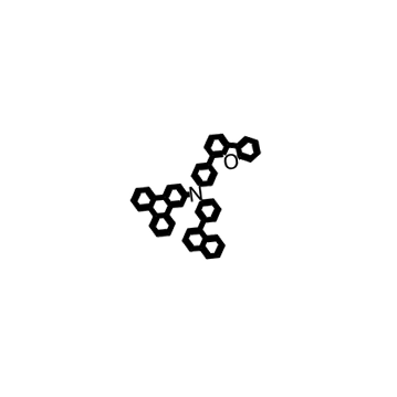 c1cc(-c2cccc3ccccc23)cc(N(c2ccc(-c3cccc4c3oc3ccccc34)cc2)c2ccc3c4ccccc4c4ccccc4c3c2)c1